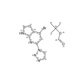 Brc1cc(-n2ccnn2)nc2[nH]ccc12.CC(C)(C)OC=O